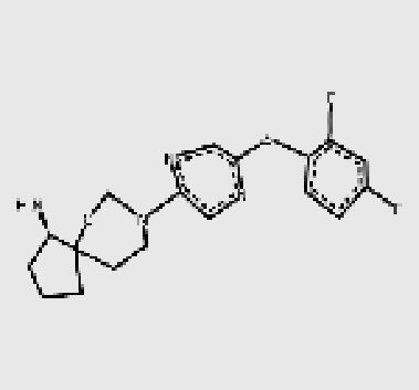 N[C@@H]1CCCC12CCN(c1cnc(Sc3ccc(F)cc3F)cn1)CC2